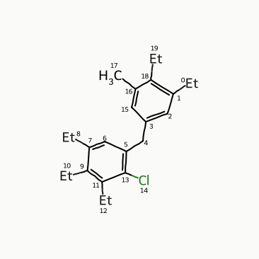 CCc1cc(Cc2cc(CC)c(CC)c(CC)c2Cl)cc(C)c1CC